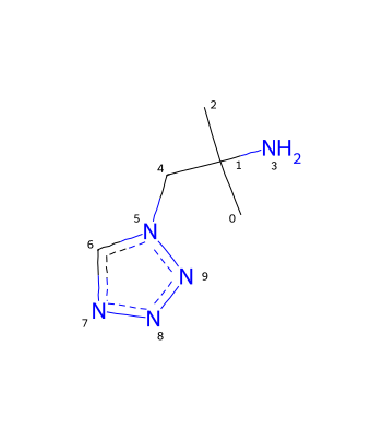 CC(C)(N)Cn1cnnn1